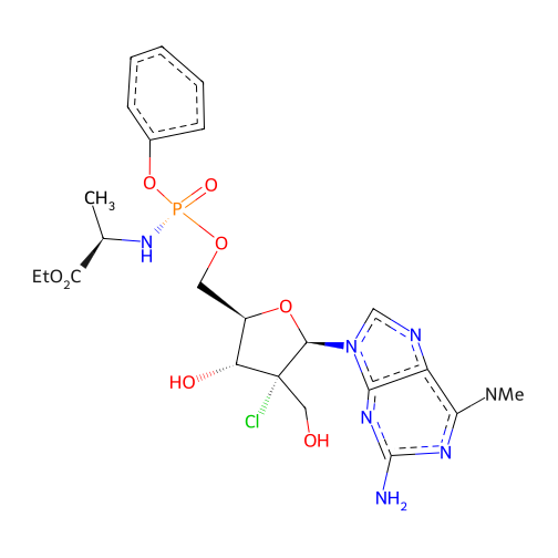 CCOC(=O)[C@@H](C)N[P@](=O)(OC[C@H]1O[C@@H](n2cnc3c(NC)nc(N)nc32)[C@@](Cl)(CO)[C@@H]1O)Oc1ccccc1